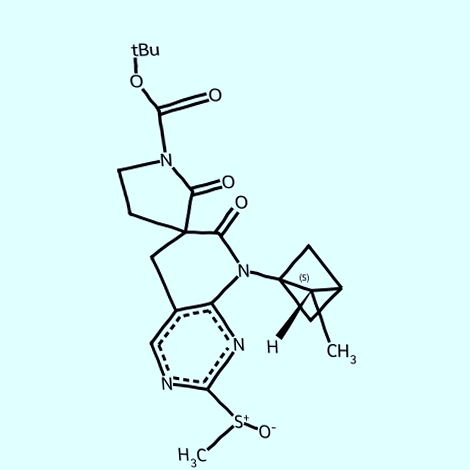 C[C@H]1C2CC1(N1C(=O)C3(CCN(C(=O)OC(C)(C)C)C3=O)Cc3cnc([S+](C)[O-])nc31)C2